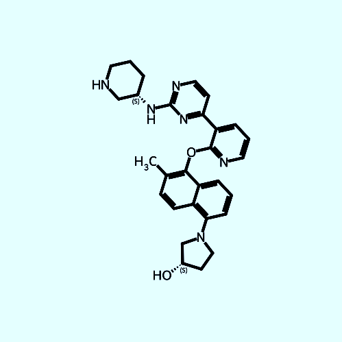 Cc1ccc2c(N3CC[C@H](O)C3)cccc2c1Oc1ncccc1-c1ccnc(N[C@H]2CCCNC2)n1